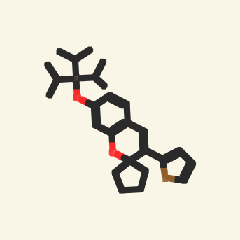 CC(C)[Si](Oc1ccc2c(c1)OC1(CCCC1)C(c1cccs1)=C2)(C(C)C)C(C)C